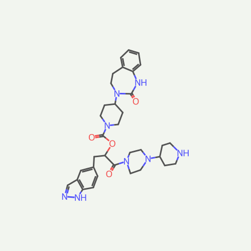 O=C(OC(Cc1ccc2[nH]ncc2c1)C(=O)N1CCN(C2CCNCC2)CC1)N1CCC(N2CCc3ccccc3NC2=O)CC1